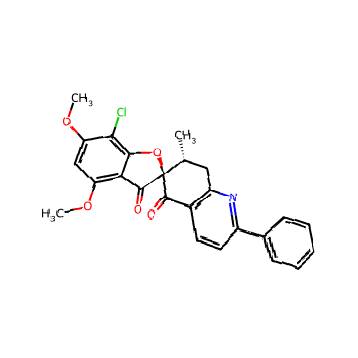 COc1cc(OC)c2c(c1Cl)O[C@@]1(C(=O)c3ccc(-c4ccccc4)nc3C[C@H]1C)C2=O